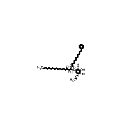 CCCCCCCCCCCCCC[C@@H](O)[C@@H](O)[C@H](CO[C@H]1C[C@H](COCC)[C@H](O)[C@H](O)[C@H]1O)NC(=O)CCCCCCCCCCc1ccccc1